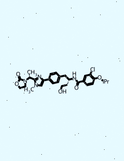 CC(C)Oc1ccc(C(=O)N[C@H](CCO)Cc2ccc(-c3cn(C)c([C@@H](C)N4CCOC4=O)n3)cc2)cc1Cl